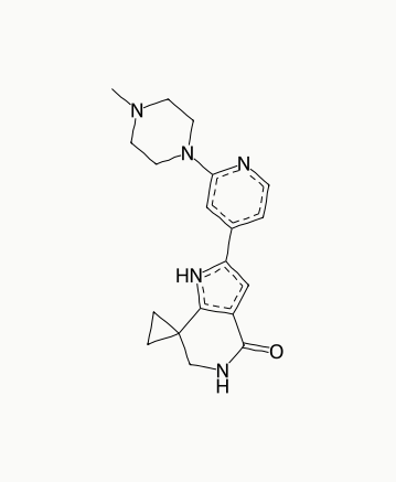 CN1CCN(c2cc(-c3cc4c([nH]3)C3(CC3)CNC4=O)ccn2)CC1